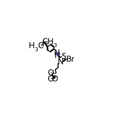 CN(C)c1ccc(/N=N/c2sc(Br)c[n+]2CCCCS(=O)(=O)[O-])cc1